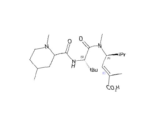 C/C(=C\[C@H](C(C)C)N(C)C(=O)[C@@H](NC(=O)C1CC(C)CCN1C)C(C)(C)C)C(=O)O